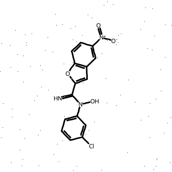 N=C(c1cc2cc([N+](=O)[O-])ccc2o1)N(O)c1cccc(Cl)c1